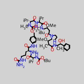 CC[C@@H](C)[C@H]([C@H](CC(=O)N1CCC[C@@H]1[C@@H](OC)[C@H](C)C(=O)N[C@@H](C)[C@H](O)c1ccccc1)OC)N(C)C(=O)C(NC(=O)[C@@H](C(C)C)N(C)C(=O)OCc1ccc(NC(=O)[C@H](CCCNC(N)=O)NC(=O)[C@@H](NC(=O)OC(C)(C)C)C(C)C)cc1)C(C)C